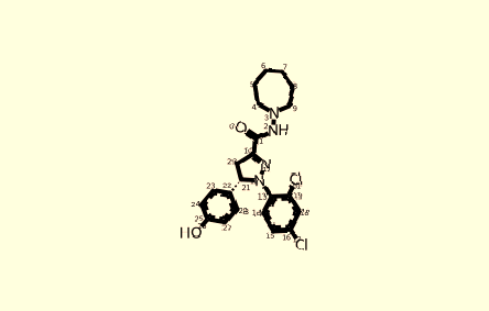 O=C(NN1CCCCCC1)C1=NN(c2ccc(Cl)cc2Cl)[C@H](c2ccc(O)cc2)C1